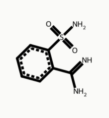 N=C(N)c1ccccc1S(N)(=O)=O